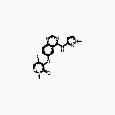 Cn1ccc(Nc2ncnc3ccc(Oc4c(Cl)cnn(C)c4=O)cc23)n1